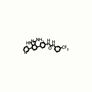 Nc1n[nH]c2c(-c3cccnc3)ccc(-c3ccc(NC(=O)Nc4cccc(C(F)(F)F)c4)cc3)c12